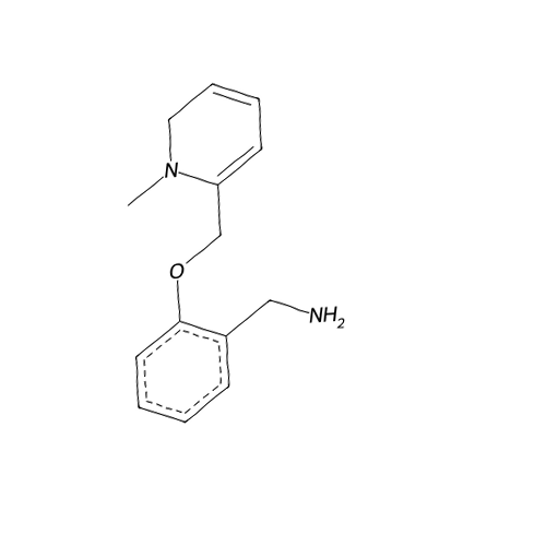 CN1CC=CC=C1COc1ccccc1CN